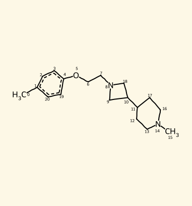 Cc1ccc(OCCN2CC(C3CCN(C)CC3)C2)cc1